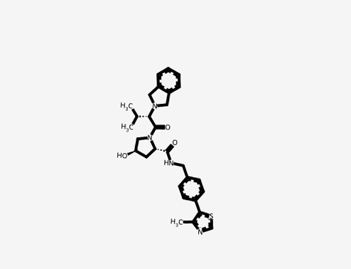 Cc1ncsc1-c1ccc(CNC(=O)[C@@H]2C[C@@H](O)CN2C(=O)[C@H](C(C)C)N2Cc3ccccc3C2)cc1